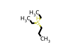 CCC[SH](CC)CC